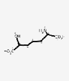 NC(CCCC(O)C(=O)O)C(=O)O